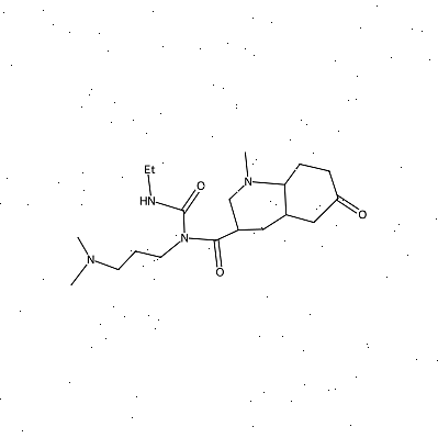 CCNC(=O)N(CCCN(C)C)C(=O)C1CC2CC(=O)CCC2N(C)C1